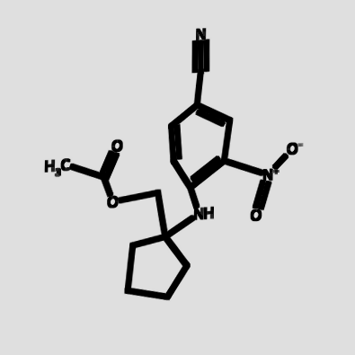 CC(=O)OCC1(Nc2ccc(C#N)cc2[N+](=O)[O-])CCCC1